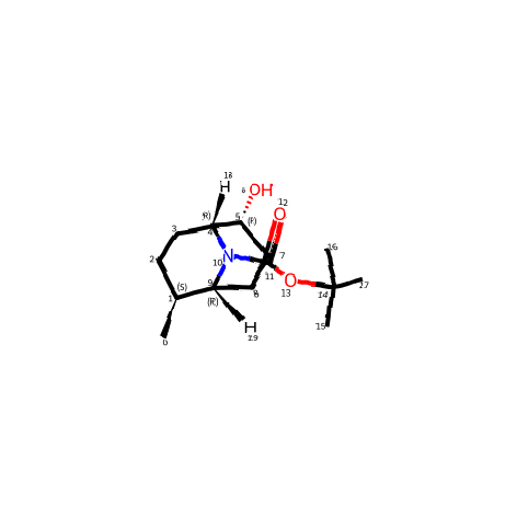 C[C@H]1CC[C@@H]2[C@H](O)CC[C@H]1N2C(=O)OC(C)(C)C